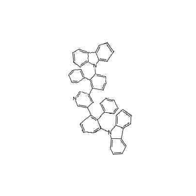 c1ccc(-c2c(-c3cncc(-c4cccc(-n5c6ccccc6c6ccccc65)c4-c4ccccc4)c3)cccc2-n2c3ccccc3c3ccccc32)cc1